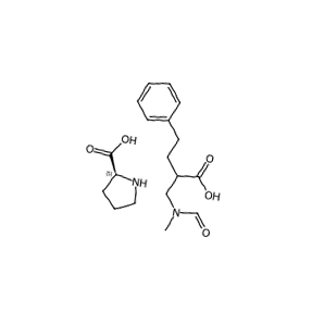 CN(C=O)CC(CCc1ccccc1)C(=O)O.O=C(O)[C@@H]1CCCN1